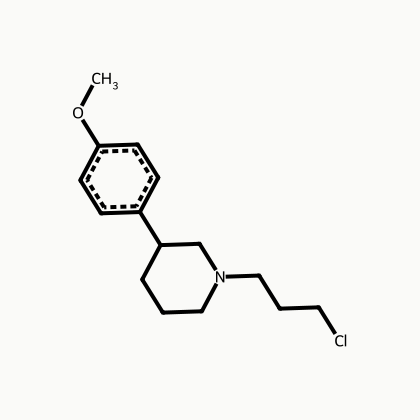 COc1ccc(C2CCCN(CCCCl)C2)cc1